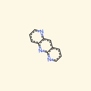 c1cnc2nc3cccnc3cc2c1